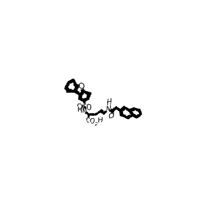 O=C(Cc1ccc2ccccc2c1)NCCCCC(NS(=O)(=O)c1ccc2oc3ccccc3c2c1)C(=O)O